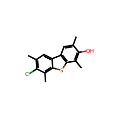 Cc1cc2c(sc3c(C)c(Cl)c(C)cc32)c(C)c1O